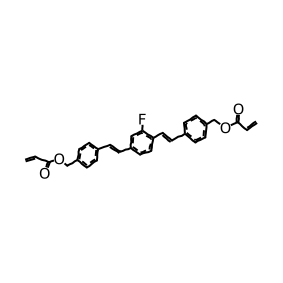 C=CC(=O)OCc1ccc(/C=C/c2ccc(/C=C/c3ccc(COC(=O)C=C)cc3)c(F)c2)cc1